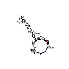 CCNC(=O)c1cnc(N2CCN(c3ncc(CNC(=O)O[C@@H]4CC[C@@H](C[C@@H](N)[C@@H]5CC(=O)[C@H](C)/C=C(\C)[C@@H](O)[C@@H](O)C(=O)[C@H](C)C[C@H](C)/C=C/C=C/C=C(\C)[C@@H](OC)C[C@@H]6CC[C@@H](C)[C@@](O)(O6)C(=O)C(=O)N6CCCC[C@H]6C(=O)O5)C[C@H]4OC)cn3)CC2)nc1N